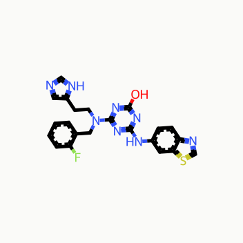 Oc1nc(Nc2ccc3ncsc3c2)nc(N(CCc2cnc[nH]2)Cc2ccccc2F)n1